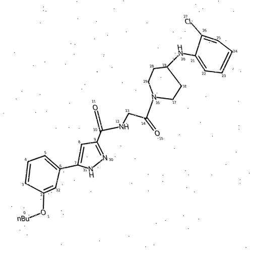 CCCCOc1cccc(-c2cc(C(=O)NCC(=O)N3CCC(Nc4ccccc4Cl)CC3)n[nH]2)c1